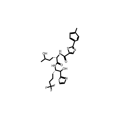 Cc1ccc(-c2ncc(C(=O)N[C@@H](CCC(C)O)C(=O)N[C@@H](CCCC(F)(F)F)C(O)c3nccs3)s2)cc1